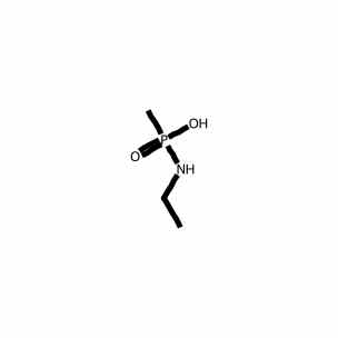 CCNP(C)(=O)O